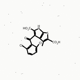 Cc1c(C(=O)O)sc2[nH]c(C(=O)O)c(C(=O)c3c(Cl)cccc3Cl)c12